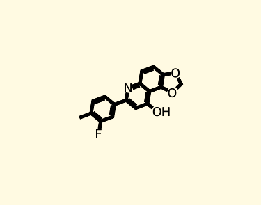 Cc1ccc(-c2cc(O)c3c4c(ccc3n2)OCO4)cc1F